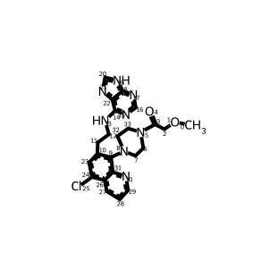 COCC(=O)N1CCN(c2c(CCNc3ncnc4[nH]cnc34)cc(Cl)c3cccnc23)CC1